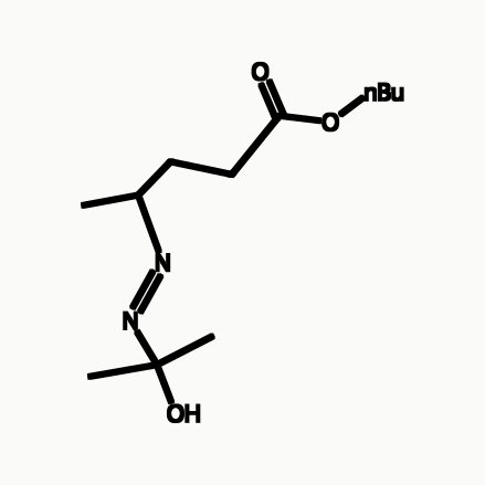 CCCCOC(=O)CCC(C)N=NC(C)(C)O